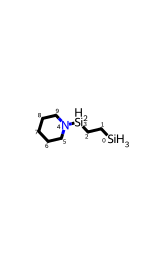 [SiH3]CC[SiH2]N1CCCCC1